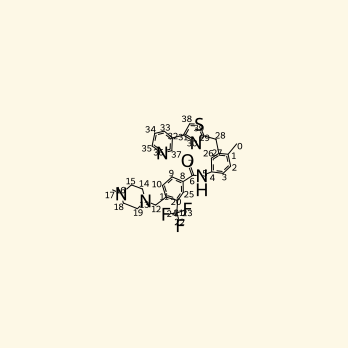 Cc1ccc(NC(=O)c2ccc(CN3CCN(C)CC3)c(C(F)(F)F)c2)cc1Cc1nc(-c2cccnc2)cs1